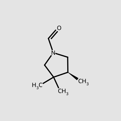 C[C@@H]1CN(C=O)CC1(C)C